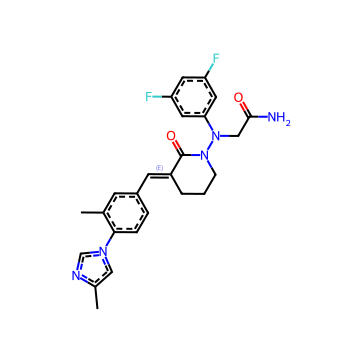 Cc1cn(-c2ccc(/C=C3\CCCN(N(CC(N)=O)c4cc(F)cc(F)c4)C3=O)cc2C)cn1